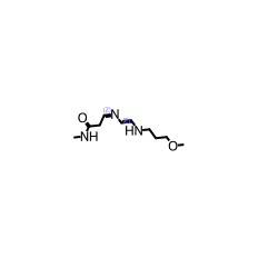 CNC(=O)C/C=N\C=C\NCCCOC